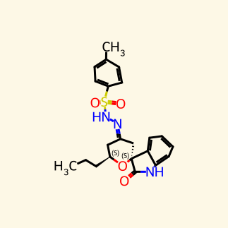 CCC[C@H]1CC(=NNS(=O)(=O)c2ccc(C)cc2)C[C@@]2(O1)C(=O)Nc1ccccc12